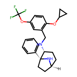 FC(F)(F)Oc1ccc(OC2CC2)c(CN[C@@H]2CC[C@H]3CC[C@]2(c2ccccc2)N3)c1